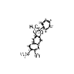 CC(C)c1cc2cc3c(cc2cc1N)OC(C)(c1ccccc1)O3